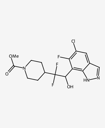 COC(=O)N1CCC(C(F)(F)C(O)c2c(F)c(Cl)cc3cn[nH]c23)CC1